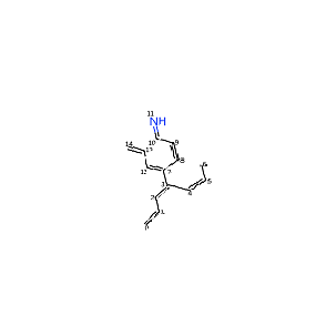 C=C/C=C(\C=C/C)C(/C=C\C=N)=C/C=C